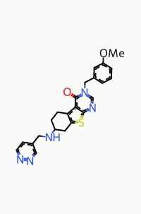 COc1cccc(Cn2cnc3sc4c(c3c2=O)CCC(NCc2ccnnc2)C4)c1